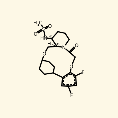 CS(=O)(=O)N[C@H]1CCCN2C(=O)COc3c(F)cc(F)cc3C3CCC(CC3)OC[C@@H]12